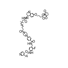 CN1CC/C(=N\NC(=O)CC(C)(C)SSCCC(=O)N2CCN(c3ccc(C(=O)NCc4ccc(NC(=O)[C@@H]5C[C@@]5(C)c5cccnc5)cc4F)cc3)CC2)c2ccc(OCCCC(=O)ON3C(=O)CCC3=O)cc21